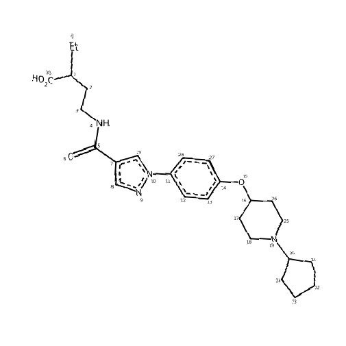 CCC(CCNC(=O)c1cnn(-c2ccc(OC3CCN(C4CCCC4)CC3)cc2)c1)C(=O)O